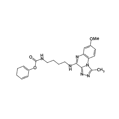 COc1ccc2c(c1)nc(NCCCCNC(=O)OC1=CCCC=C1)c1nnc(C)n12